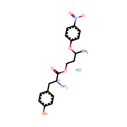 CC(CCOC(=O)[C@@H](N)Cc1ccc(O)cc1)Oc1ccc([N+](=O)[O-])cc1.Cl